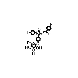 CC[C@H]1S[C@@H](Oc2ccc([C@@H]3[C@@H](CC[C@H](O)c4ccc(F)cc4)C(=O)N3c3ccc(F)cc3)cc2)[C@H](O)[C@@H](O)[C@@H]1O